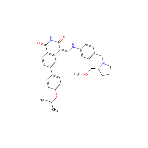 COC[C@@H]1CCCN1Cc1ccc(N/C=C2\C(=O)NC(=O)c3ccc(-c4ccc(OC(C)C)cc4)cc32)cc1